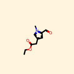 CCOC(=O)Cc1cc(C=O)n(C)c1